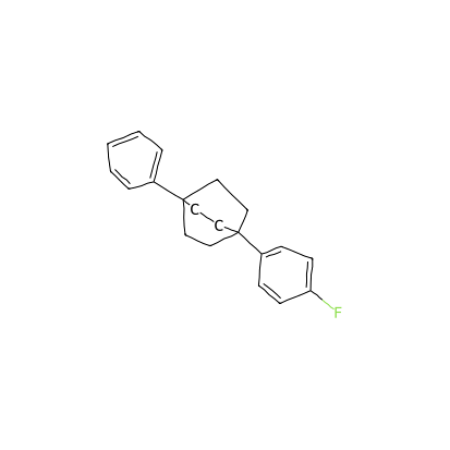 Fc1ccc(C23CCC(c4ccccc4)(CC2)CC3)cc1